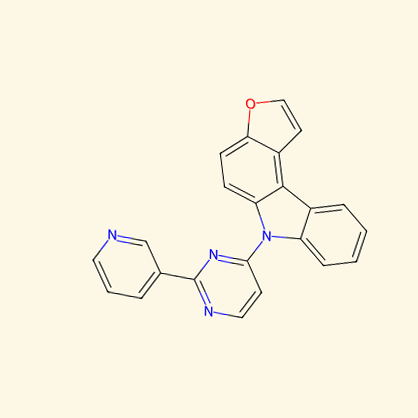 c1cncc(-c2nccc(-n3c4ccccc4c4c5ccoc5ccc43)n2)c1